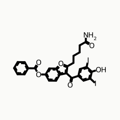 NC(=O)CCCCc1oc2cc(OC(=O)c3ccccc3)ccc2c1C(=O)c1cc(I)c(O)c(I)c1